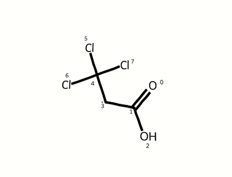 O=C(O)[CH]C(Cl)(Cl)Cl